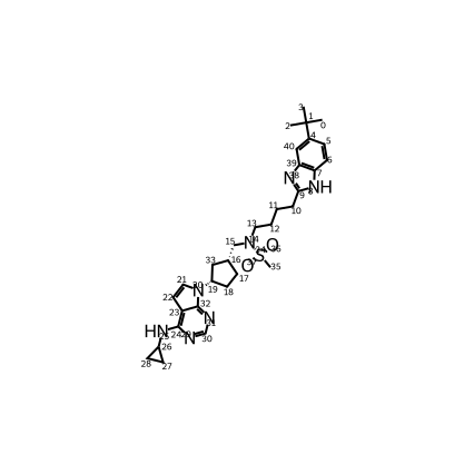 CC(C)(C)c1ccc2[nH]c(CCCCN(C[C@@H]3CC[C@H](n4ccc5c(NC6CC6)ncnc54)C3)S(C)(=O)=O)nc2c1